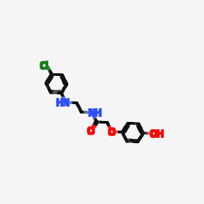 O=C(COc1ccc(O)cc1)NCCNc1ccc(Cl)cc1